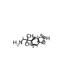 CC(C)(CN)c1ccc2c(c1)SPO2